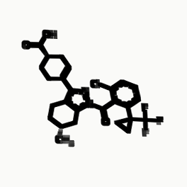 C[C@@H]1CCc2c(C3=CC[C@H](C(=O)O)CC3)nn(C(=O)c3c(Cl)cccc3C3(C(F)(F)F)CC3)c2C1